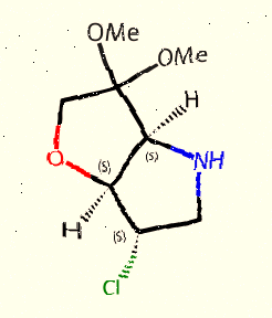 COC1(OC)CO[C@@H]2[C@@H](Cl)CN[C@@H]21